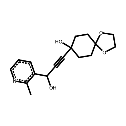 Cc1ncccc1C(O)C#CC1(O)CCC2(CC1)OCCO2